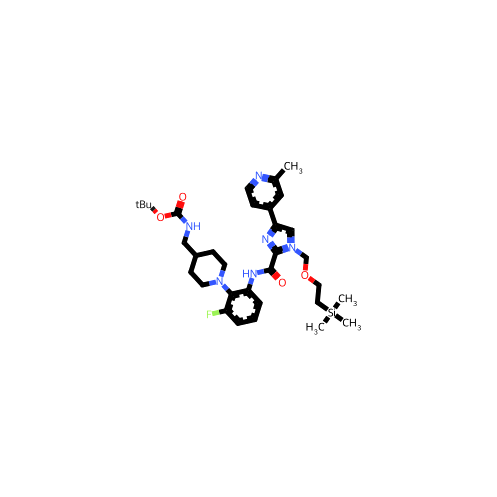 Cc1cc(-c2cn(COCC[Si](C)(C)C)c(C(=O)Nc3cccc(F)c3N3CCC(CNC(=O)OC(C)(C)C)CC3)n2)ccn1